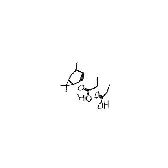 CC1C#CC2C(C1)C2(C)C.CCC(=O)O.CCC(=O)O